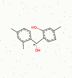 Cc1ccc([C@@H](O)c2ccc(C)cc2O)c(C)c1